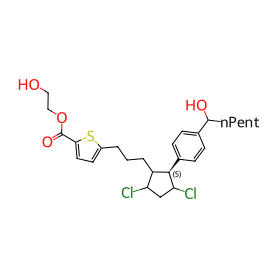 CCCCCC(O)c1ccc([C@H]2C(Cl)CC(Cl)C2CCCc2ccc(C(=O)OCCO)s2)cc1